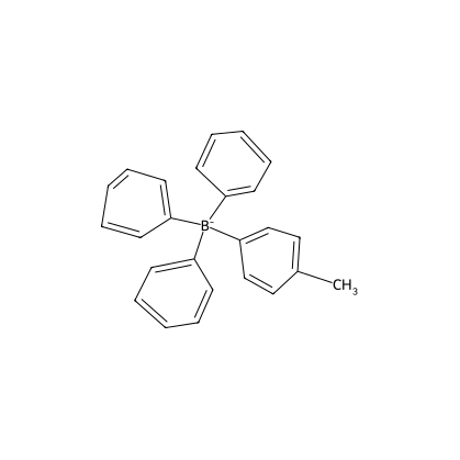 Cc1ccc([B-](c2ccccc2)(c2ccccc2)c2ccccc2)cc1